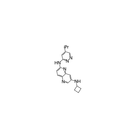 CC(C)c1cnnc(Nc2ccc3ncc(NC4CCC4)cc3n2)c1